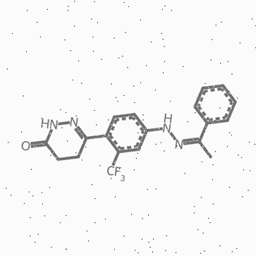 CC(=NNc1ccc(C2=NNC(=O)CC2)c(C(F)(F)F)c1)c1ccccc1